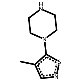 Cc1cnsc1N1CCNCC1